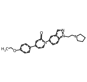 CCOc1ccc(-c2ccn(-c3ccc4c(cnn4CCN4CCCC4)c3)c(=O)c2)cc1